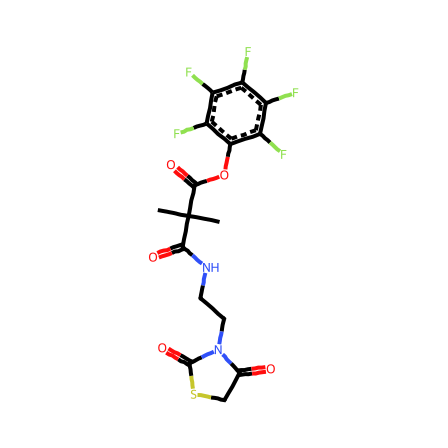 CC(C)(C(=O)NCCN1C(=O)CSC1=O)C(=O)Oc1c(F)c(F)c(F)c(F)c1F